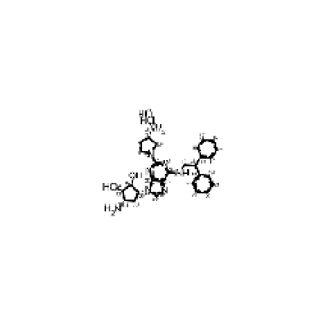 Cl.Cl.N[C@@H]1CCN(c2nc(NCC(c3ccccc3)c3ccccc3)c3ncn([C@@H]4C[C@H](N)[C@@H](O)[C@H]4O)c3n2)C1